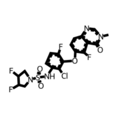 Cn1cnc2ccc(Oc3c(F)ccc(NS(=O)(=O)N4CC(F)C(F)C4)c3Cl)c(F)c2c1=O